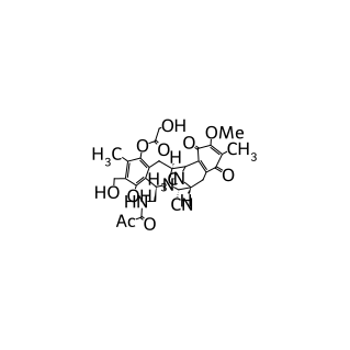 COC1=C(C)C(=O)C2=C(C1=O)C1[C@@H]3Cc4c(OC(=O)CO)c(C)c(CO)c(O)c4[C@H](CNC(=O)C(C)=O)N3[C@@H](C#N)[C@@H](C2)N1C